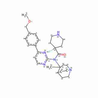 COCc1ccc(-c2ccnc(N(C(=O)C3(F)CCNCC3)C3(C)CCN4CCC3CC4)n2)cc1